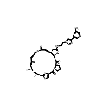 CC1=C\[C@@H](O)C[C@@H](F)Cc2nc(co2)C(=O)N2CCC[C@@H]2C(=O)O[C@H](C(C)C)[C@H](CC(=O)NCCn2cc(-c3cncc(N)n3)nn2)/C=C/C(=O)NC\C=C\1